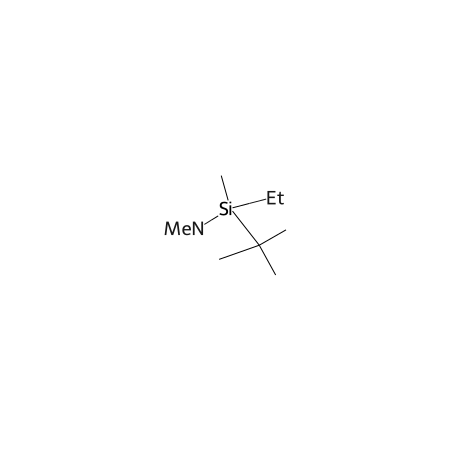 CC[Si](C)(NC)C(C)(C)C